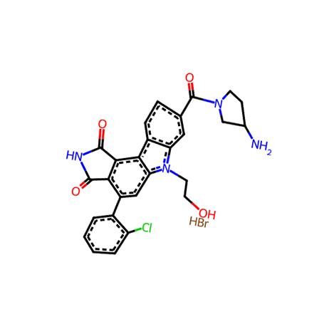 Br.NC1CCN(C(=O)c2ccc3c4c5c(c(-c6ccccc6Cl)cc4n(CCO)c3c2)C(=O)NC5=O)C1